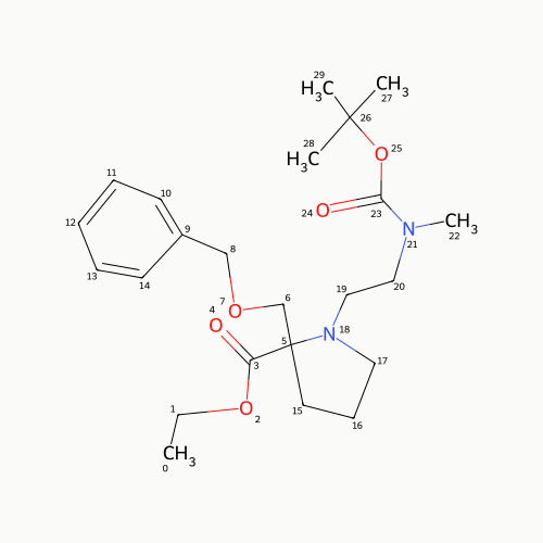 CCOC(=O)C1(COCc2ccccc2)CCCN1CCN(C)C(=O)OC(C)(C)C